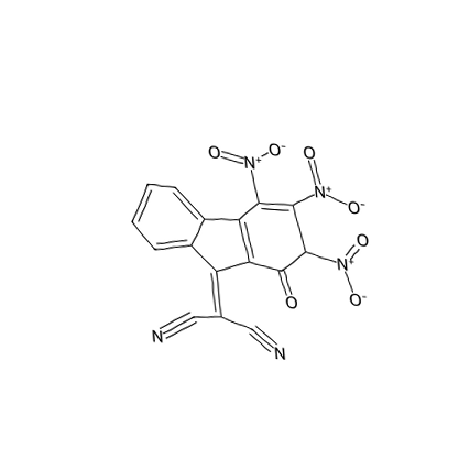 N#CC(C#N)=C1C2=C(C([N+](=O)[O-])=C([N+](=O)[O-])C([N+](=O)[O-])C2=O)c2ccccc21